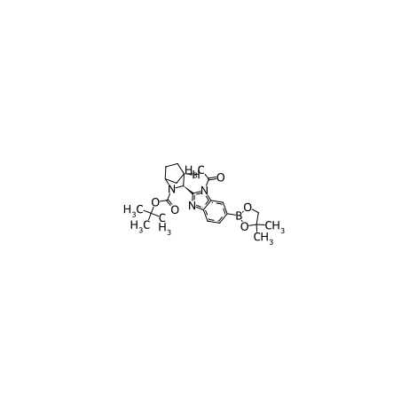 CC(=O)n1c([C@@H]2[C@H]3CCC(C3)N2C(=O)OC(C)(C)C)nc2ccc(B3OCC(C)(C)O3)cc21